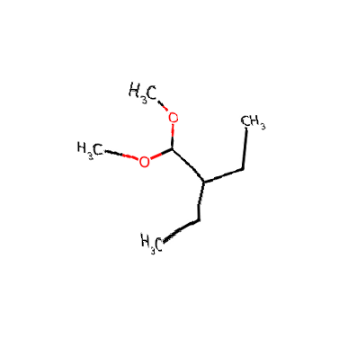 CCC(CC)C(OC)OC